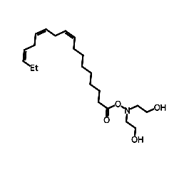 CC/C=C\C/C=C\C/C=C\CCCCCCCC(=O)ON(CCO)CCO